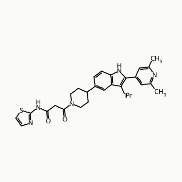 Cc1cc(-c2[nH]c3ccc(C4CCN(C(=O)CC(=O)Nc5nccs5)CC4)cc3c2C(C)C)cc(C)n1